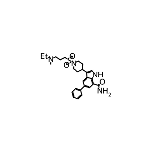 CCN(C)CCCS(=O)(=O)N1CCC(c2c[nH]c3c(C(N)=O)cc(-c4ccccc4)cc23)CC1